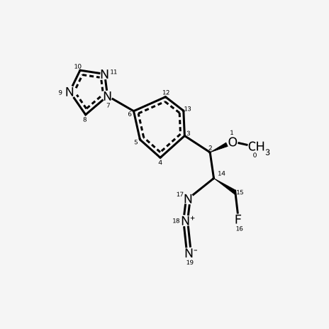 CO[C@H](c1ccc(-n2cncn2)cc1)[C@@H](CF)N=[N+]=[N-]